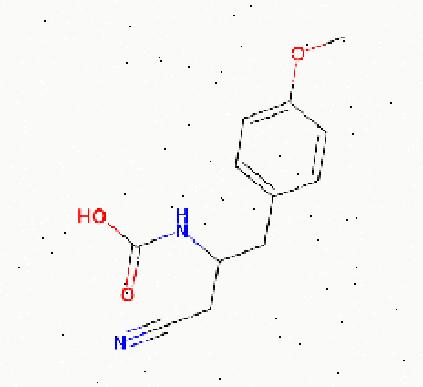 COc1ccc(CC(CC#N)NC(=O)O)cc1